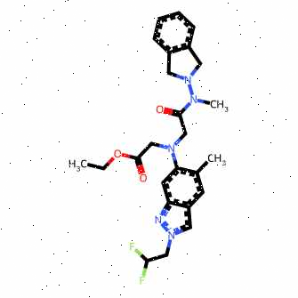 CCOC(=O)CN(CC(=O)N(C)N1Cc2ccccc2C1)c1cc2nn(CC(F)F)cc2cc1C